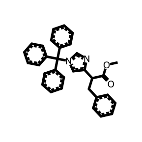 COC(=O)C(Cc1ccccc1)c1cn(C(c2ccccc2)(c2ccccc2)c2ccccc2)cn1